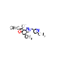 Cc1ccc(Cn2cc3c(n2)-c2c(oc(C=O)c2C(F)(F)F)CC3C)cn1